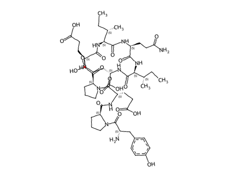 CC[C@H](C)[C@H](NC(=O)[C@H](CCC(N)=O)NC(=O)[C@@H](NC(=O)[C@H](CCC(=O)O)NC(=O)[C@@H]1CCCN1C(=O)[C@H](CCC(=O)O)NC(=O)[C@@H]1CCCN1C(=O)[C@@H](N)Cc1ccc(O)cc1)[C@@H](C)CC)C(=O)N[C@@H](CCC(=O)O)C(=O)O